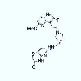 COc1ccc2ncc(F)c(CCN3CC[C@H](CNCc4ccc5c(n4)NC(=O)CS5)C3)c2n1